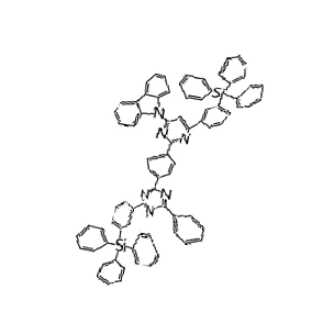 c1ccc(-c2nc(-c3ccc(-c4nc(-c5cccc([Si](c6ccccc6)(c6ccccc6)c6ccccc6)c5)cc(-n5c6ccccc6c6ccccc65)n4)cc3)nc(-c3cccc([Si](c4ccccc4)(c4ccccc4)c4ccccc4)c3)n2)cc1